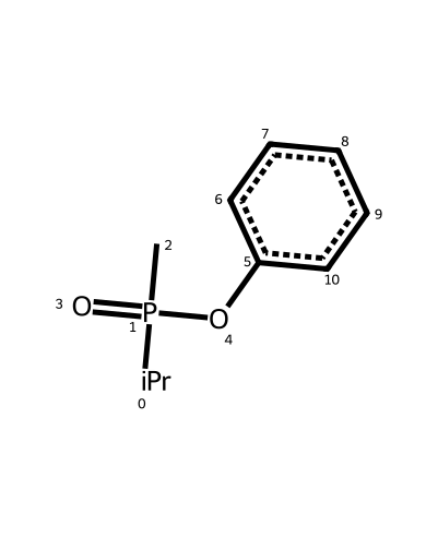 CC(C)P(C)(=O)Oc1ccccc1